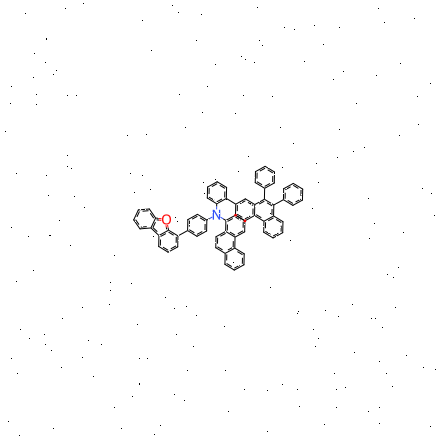 c1ccc(-c2c(-c3ccccc3)c3cc(-c4ccccc4N(c4ccc(-c5cccc6c5oc5ccccc56)cc4)c4cccc5c4ccc4ccccc45)ccc3c3ccccc23)cc1